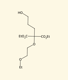 CCOCCOC(CCCO)(C(=O)OCC)C(=O)OCC